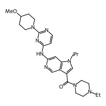 CCN1CCN(C(=O)c2cn(C(C)C)c3cc(Nc4ccnc(N5CCC(OC)CC5)n4)ncc23)CC1